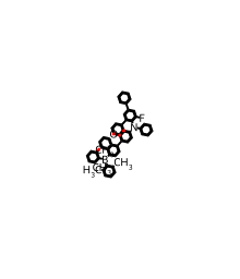 Cc1cccc(C)c1B(c1c(C)cccc1C)c1ccc2c3c(cccc13)Oc1cc(N(c3ccccc3)c3c(F)cc(-c4ccccc4)cc3-c3ccccc3)ccc1-2